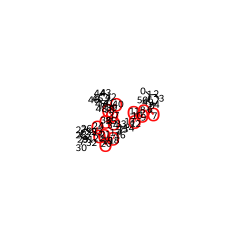 Cc1cccc(C(=O)OOC(=O)OCCC(CCOC(=O)OOC(=O)c2cccc(C)c2C)COC(=O)OOC(=O)c2cccc(C)c2C)c1C